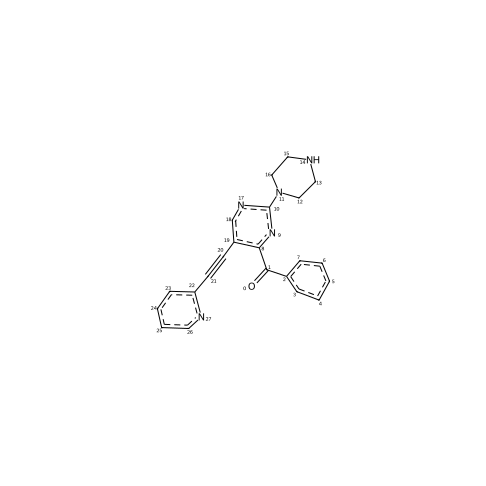 O=C(c1ccccc1)c1nc(N2CCNCC2)ncc1C#Cc1ccccn1